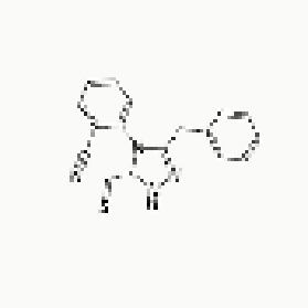 N#Cc1ccccc1N1C(Cc2ccccc2)=NNC1C=S